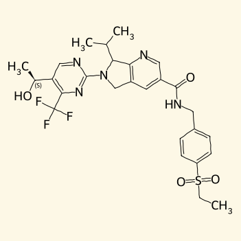 CCS(=O)(=O)c1ccc(CNC(=O)c2cnc3c(c2)CN(c2ncc([C@H](C)O)c(C(F)(F)F)n2)C3C(C)C)cc1